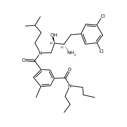 CCCN(CCC)C(=O)c1cc(C)cc(C(=O)N(CCC(C)C)C[C@@H](O)[C@@H](N)Cc2cc(Cl)cc(Cl)c2)c1